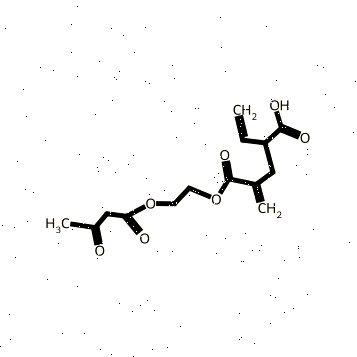 C=CC(CC(=C)C(=O)OCCOC(=O)CC(C)=O)C(=O)O